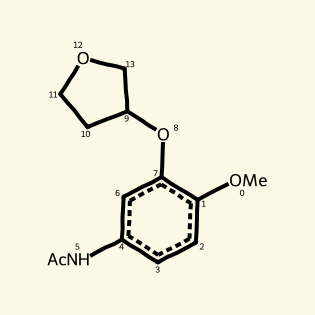 COc1ccc(NC(C)=O)cc1OC1CCOC1